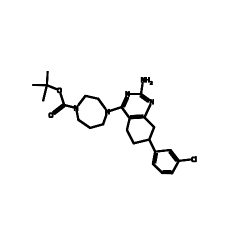 CC(C)(C)OC(=O)N1CCCN(c2nc(N)nc3c2CCC(c2cccc(Cl)c2)C3)CC1